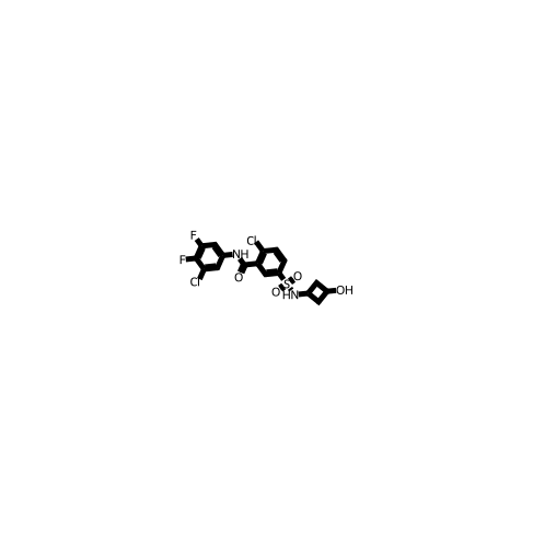 O=C(Nc1cc(F)c(F)c(Cl)c1)c1cc(S(=O)(=O)NC2CC(O)C2)ccc1Cl